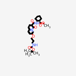 COC(=O)[C@@H]1CCCC[C@H]1NC(=O)c1ccc2ccc(OCCCNC(=O)OC(C)(C)C)cn2c1=O